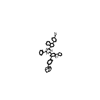 N#Cc1ccc(-c2ccc(-c3nc(-c4ccccc4)nc(-c4cc(-c5ccc(C67CC8CC(CC(C8)C6)C7)cc5)c5oc6ccccc6c5c4)n3)c3ccccc23)cc1